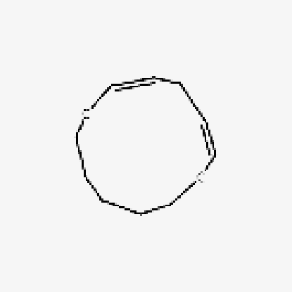 C1=CCCCCCCCC=CC1